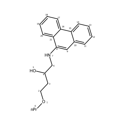 CCCOCCC(O)CNc1cc2ccccc2c2ccccc12